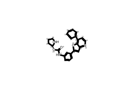 O=C(Nc1cccc(-c2cc3nccc(-c4ccccc4)c3o2)c1)O[C@H]1CCCN1